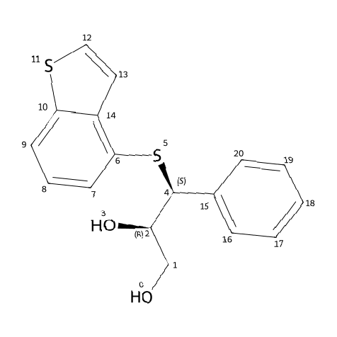 OC[C@@H](O)[C@@H](Sc1cccc2sccc12)c1ccccc1